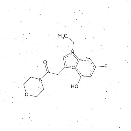 CCn1cc(CC(=O)N2CCOCC2)c2c(O)cc(F)cc21